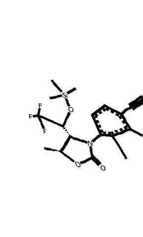 Cc1c(N2C(=O)O[C@@H](C)[C@@H]2C(O[Si](C)(C)C)C(F)(F)F)ccc(C#N)c1Cl